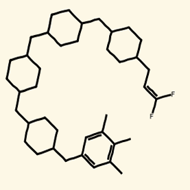 Cc1cc(CC2CCC(CC3CCC(CC4CCC(CC5CCC(CC=C(F)F)CC5)CC4)CC3)CC2)cc(C)c1C